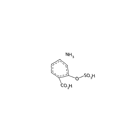 N.O=C(O)c1ccccc1OS(=O)(=O)O